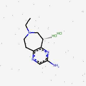 CCN1CCc2ncc(N)nc2[C@@H](C)C1.Cl.Cl